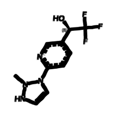 CN1NC=CN1c1ccc([C@@H](O)C(F)(F)F)cn1